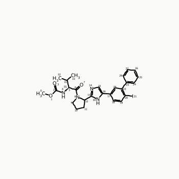 COC(=O)N[C@H](C(=O)N1CCCC1c1ncc(-c2ccc(I)c(-c3ccccc3)c2)[nH]1)C(C)C